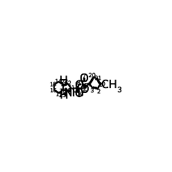 Cc1ccc(S(=O)(=O)OC(=O)[C@@H]2C[C@@H]3CCCC[C@@H]3N2)cc1